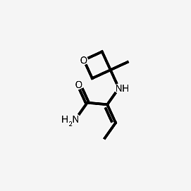 CC=C(NC1(C)COC1)C(N)=O